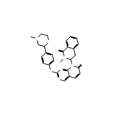 CN1CCSC(c2ccc(Nc3ncc4ccc(=O)n(C5Cc6ccccc6C(=O)N5C)c4n3)cc2)C1